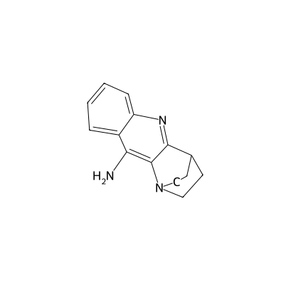 Nc1c2c(nc3ccccc13)C1CCN2CC1